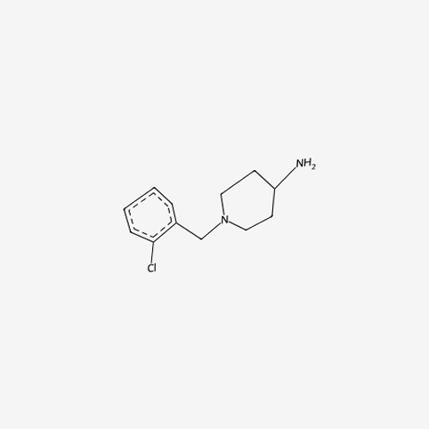 NC1CCN(Cc2ccccc2Cl)CC1